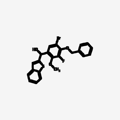 COc1c(C(O)c2cc3ccccc3s2)cc(Br)c(OCc2ccccc2)c1F